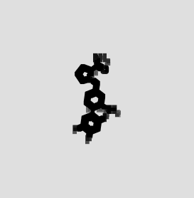 NC(=O)[C@@H]1CCCN1CC1=CC[C@@H](c2cc(F)c(F)cc2F)[C@H](N)C1